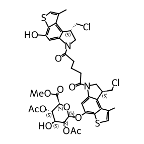 COC(=O)[C@H]1O[C@@H](Oc2cc3c(c4c(C)csc24)[C@H](CCl)CN3C(=O)CCCC(=O)N2C[C@@H](CCl)c3c2cc(O)c2scc(C)c32)[C@H](OC(C)=O)[C@@H](O)[C@@H]1OC(C)=O